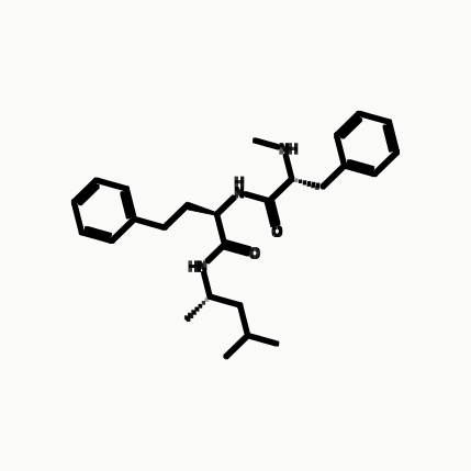 CN[C@H](Cc1ccccc1)C(=O)N[C@H](CCc1ccccc1)C(=O)N[C@@H](C)CC(C)C